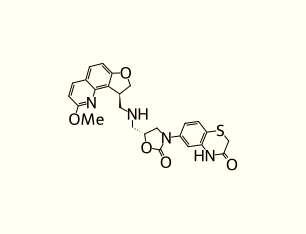 COc1ccc2ccc3c(c2n1)[C@H](CNC[C@@H]1CN(c2ccc4c(c2)NC(=O)CS4)C(=O)O1)CO3